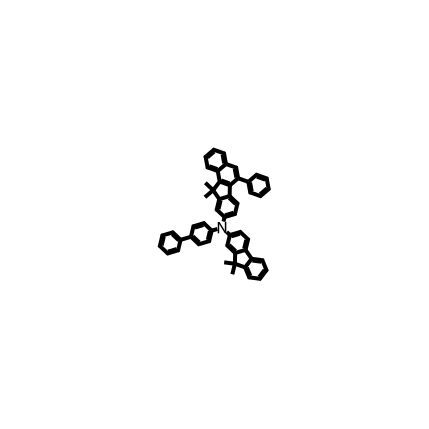 CC1(C)c2ccccc2-c2ccc(N(c3ccc(-c4ccccc4)cc3)c3ccc4c(c3)C(C)(C)c3c-4c(-c4ccccc4)cc4ccccc34)cc21